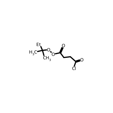 CCC(C)(C)OOC(=O)CCC(=O)Cl